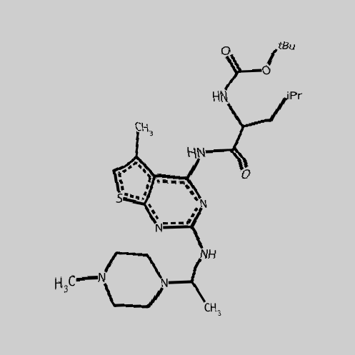 Cc1csc2nc(NC(C)N3CCN(C)CC3)nc(NC(=O)C(CC(C)C)NC(=O)OC(C)(C)C)c12